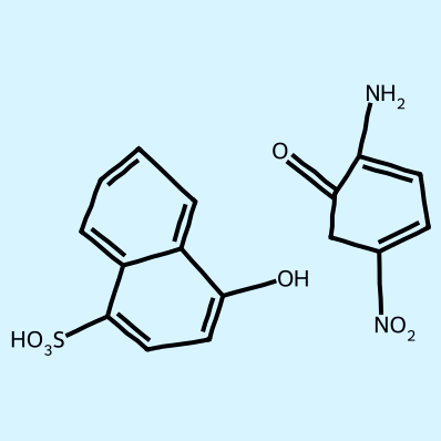 NC1=CC=C([N+](=O)[O-])CC1=O.O=S(=O)(O)c1ccc(O)c2ccccc12